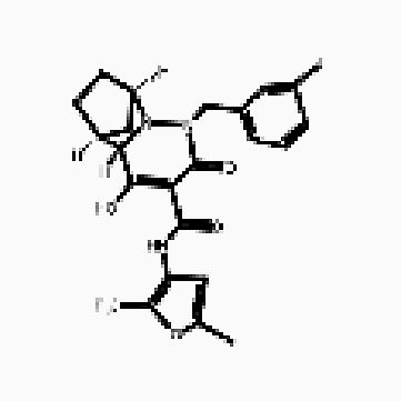 Cc1cc(NC(=O)C2=C(O)[C@@H]3[C@H]4CC[C@H](C4)N3N(Cc3cccc(F)c3)C2=O)c(C(F)(F)F)o1